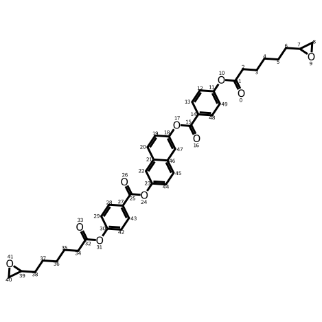 O=C(CCCCCC1CO1)Oc1ccc(C(=O)Oc2ccc3cc(OC(=O)c4ccc(OC(=O)CCCCCC5CO5)cc4)ccc3c2)cc1